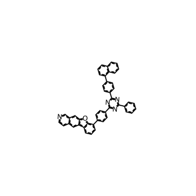 c1ccc(-c2nc(-c3ccc(-c4cccc5ccccc45)cc3)nc(-c3ccc(-c4cccc5c4oc4cc6cnccc6cc45)cc3)n2)cc1